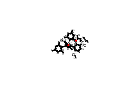 Cc1cc(C)c(N2[C](=[Ru+2])[N+]3(c4c(C)cc(C)cc4C)CC2C3c2cccc(S(=O)(=O)N(C)C)c2OC(C)C)c(C)c1.[Cl-].[Cl-]